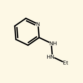 CCNNc1ccccn1